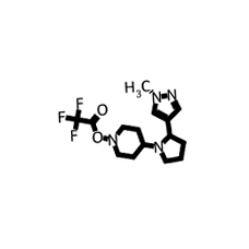 Cn1cc(C2CCCN2C2CCN(OC(=O)C(F)(F)F)CC2)cn1